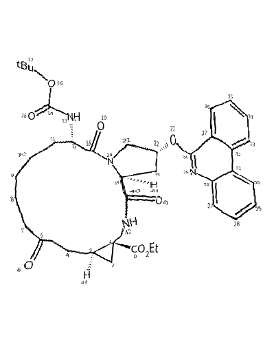 CCOC(=O)[C@@]12C[C@H]1CC(=O)CCCCC[C@H](NC(=O)OC(C)(C)C)C(=O)N1C[C@H](Oc3nc4ccccc4c4ccccc34)C[C@H]1C(=O)N2